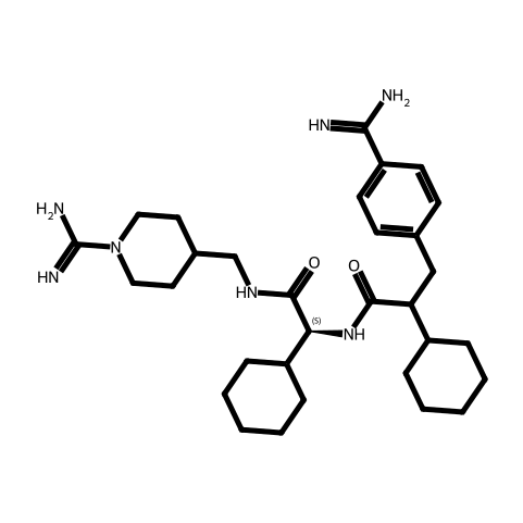 N=C(N)c1ccc(CC(C(=O)N[C@H](C(=O)NCC2CCN(C(=N)N)CC2)C2CCCCC2)C2CCCCC2)cc1